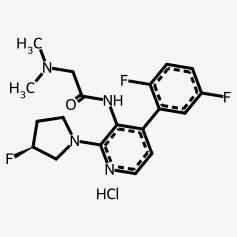 CN(C)CC(=O)Nc1c(-c2cc(F)ccc2F)ccnc1N1CC[C@H](F)C1.Cl